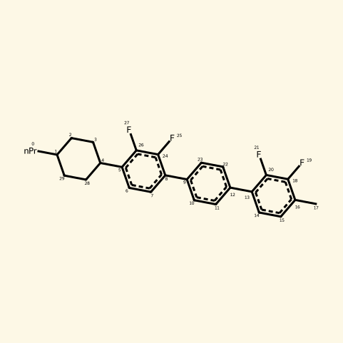 CCCC1CCC(c2ccc(-c3ccc(-c4ccc(C)c(F)c4F)cc3)c(F)c2F)CC1